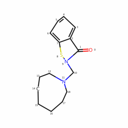 O=c1c2ccccc2sn1CN1CCCCCCC1